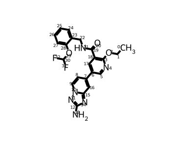 CCOc1ncc(-c2ccn3nc(N)nc3c2)cc1C(=O)NCc1ccccc1OC(F)F